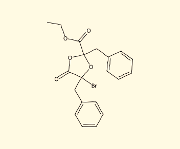 CCOC(=O)C1(Cc2ccccc2)OC(=O)C(Br)(Cc2ccccc2)O1